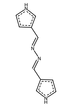 C(=N\N=C\c1cc[nH]c1)/c1cc[nH]c1